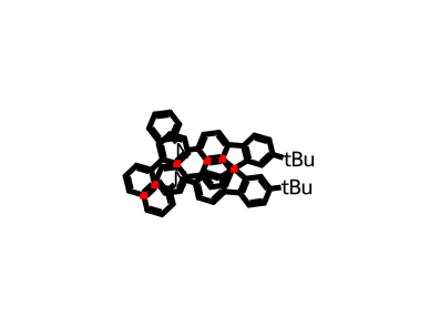 CC(C)(C)c1ccc2c(c1)C1(c3cc(N(c4ccccc4)c4ccccc4-c4ccccc4)ccc3-2)c2cc(N(c3ccccc3)c3ccccc3-c3ccccc3)ccc2-c2ccc(C(C)(C)C)cc21